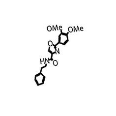 COc1ccc(-c2nc(C(=O)NCCc3ccccc3)co2)cc1OC